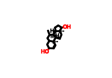 CC1CC2CC(O)C=C[C@]2(C)C2=CC[C@]3(C)C(O)CC[C@H]3[C@@H]21